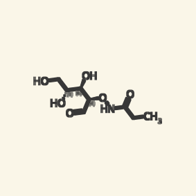 CCC(=O)NO[C@@H](C=O)[C@H](O)[C@H](O)CO